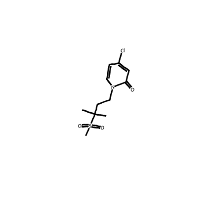 CC(C)(CCn1ccc(Cl)cc1=O)S(C)(=O)=O